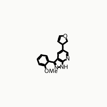 COc1ccccc1-c1n[nH]c2ncc(C3C=COC3)cc12